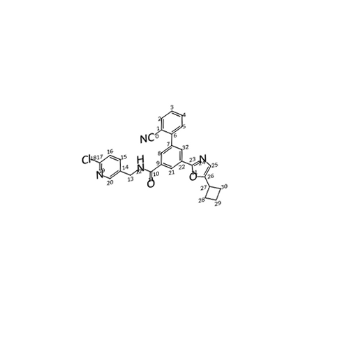 N#Cc1ccccc1-c1cc(C(=O)NCc2ccc(Cl)nc2)cc(-c2ncc(C3CCC3)o2)c1